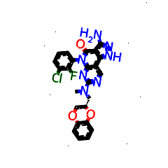 CN(C[C@H]1COc2ccccc2O1)c1ncc2c3[nH]nc(N)c3c(=O)n(-c3cccc(Cl)c3F)c2n1